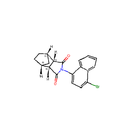 O=C1[C@@H]2[C@@H]3CC[C@@H](C3)[C@@H]2C(=O)N1c1ccc(Br)c2ccccc12